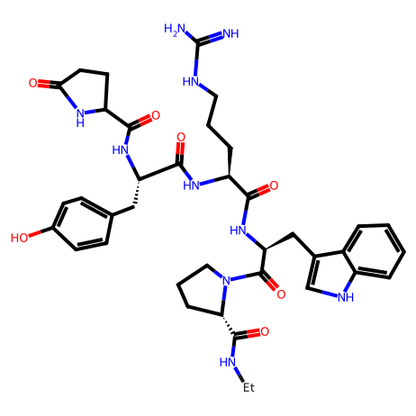 CCNC(=O)[C@@H]1CCCN1C(=O)[C@H](Cc1c[nH]c2ccccc12)NC(=O)[C@H](CCCNC(=N)N)NC(=O)[C@H](Cc1ccc(O)cc1)NC(=O)C1CCC(=O)N1